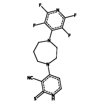 N#Cc1c(N2CCCN(c3c(F)c(F)nc(F)c3F)CC2)cc[nH]c1=S